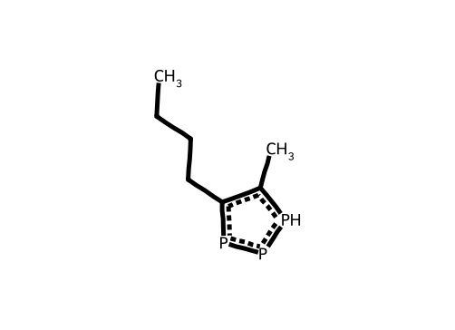 CCCCc1pp[pH]c1C